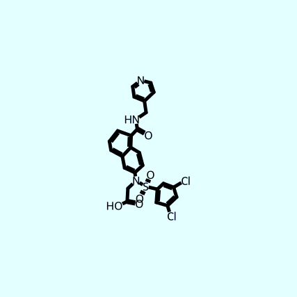 O=C(O)CN(c1ccc2c(C(=O)NCc3ccncc3)cccc2c1)S(=O)(=O)c1cc(Cl)cc(Cl)c1